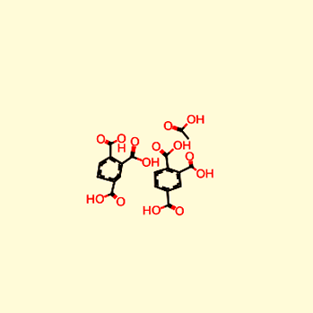 CC(=O)O.O=C(O)c1ccc(C(=O)O)c(C(=O)O)c1.O=C(O)c1ccc(C(=O)O)c(C(=O)O)c1